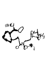 CN(C)CCN(C)C(=O)Cc1ccccc1C(=O)C(C)(C)C